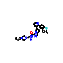 Cc1cc(-c2ncccc2C2=CN3C(C=C2)CNC3C(=O)NCCN2CCN(C)CC2)ccc1F